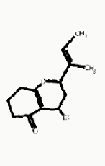 CC=C(C)C1CC(CC)C2=C(CCCC2=O)O1